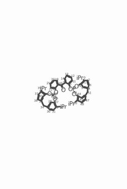 CC(C)c1ccc2cc1OP(Oc1ccccc1C(=O)c1ccccc1OP1Oc3cc(ccc3C(C)C)Cc3ccc(C(C)C)c(c3)O1)Oc1cc(ccc1C(C)C)C2